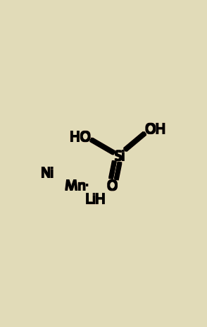 O=[Si](O)O.[LiH].[Mn].[Ni]